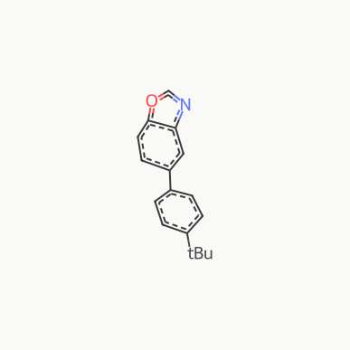 CC(C)(C)c1ccc(-c2ccc3ocnc3c2)cc1